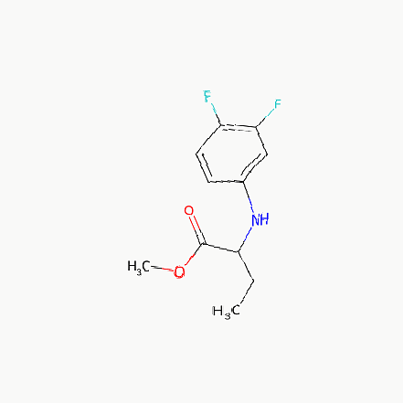 CCC(Nc1ccc(F)c(F)c1)C(=O)OC